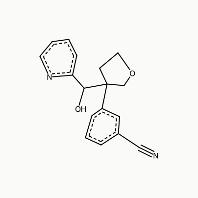 N#Cc1cccc(C2(C(O)c3ccccn3)CCOC2)c1